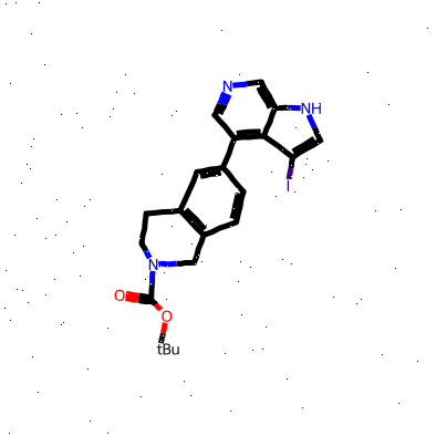 CC(C)(C)OC(=O)N1CCc2cc(-c3cncc4[nH]cc(I)c34)ccc2C1